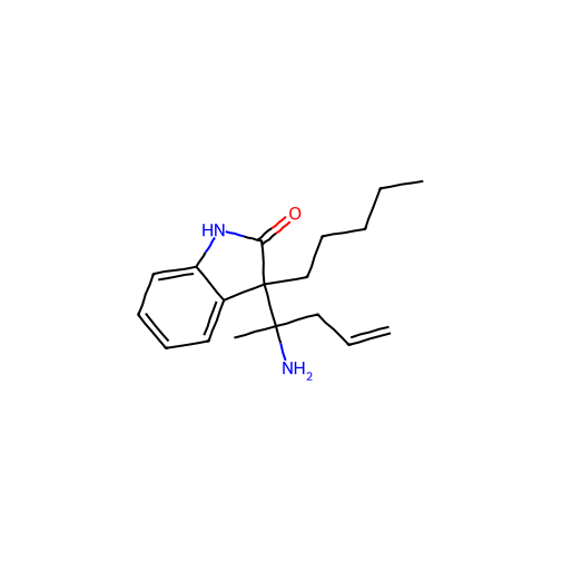 C=CCC(C)(N)C1(CCCCC)C(=O)Nc2ccccc21